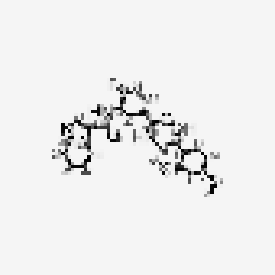 CSc1ccc([C@@H](O)[C@H](CO)NC(=O)c2ccc(F)c(NC(=O)c3cnc4ccccn34)c2)cc1